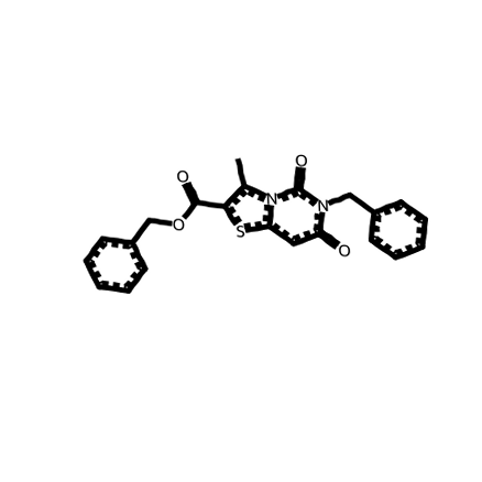 Cc1c(C(=O)OCc2ccccc2)sc2cc(=O)n(Cc3ccccc3)c(=O)n12